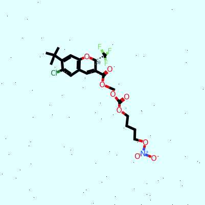 CC(C)(C)c1cc2c(cc1Cl)C=C(C(=O)OCOC(=O)OCCCCO[N+](=O)[O-])[C@@H](C(F)(F)F)O2